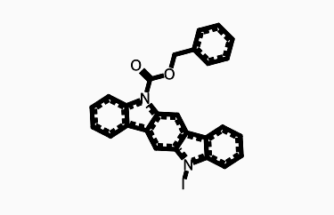 O=C(OCc1ccccc1)n1c2ccccc2c2cc3c(cc21)c1ccccc1n3I